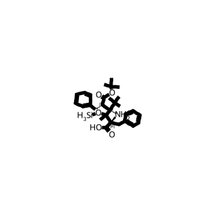 CC(C)(C)OC(=O)[C@@H](Cc1ccccc1)[C@@](C)(C(C)(C)C)C(C)(O[SiH3])[C@](N)(Cc1ccccc1)C(=O)O